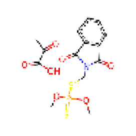 CC(=O)C(=O)O.COP(=S)(OC)SCN1C(=O)c2ccccc2C1=O